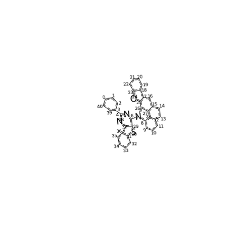 c1ccc(-c2nc(-n3c4cccc5ccc6cc7c8ccccc8oc7c3c6c54)c3sc4ccccc4c3n2)cc1